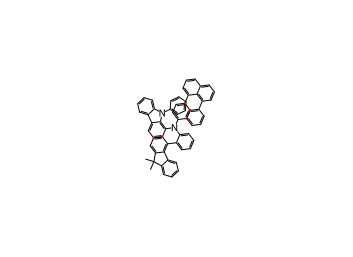 CC1(C)c2ccccc2-c2c(-c3ccccc3N(c3ccc(-c4cccc5cccc(-c6ccccc6)c45)cc3)c3cccc4c5ccccc5n(-c5ccccc5)c34)cccc21